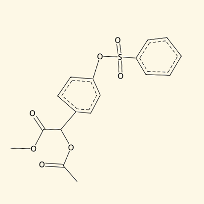 COC(=O)C(OC(C)=O)c1ccc(OS(=O)(=O)c2ccccc2)cc1